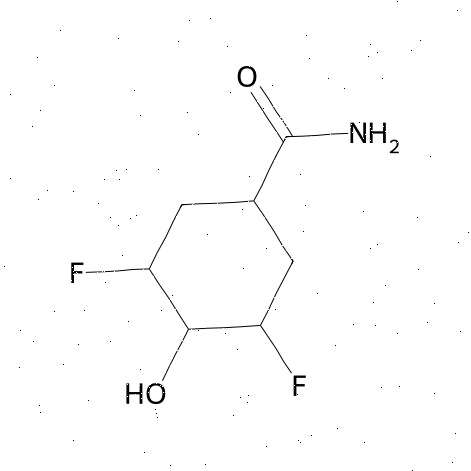 NC(=O)C1CC(F)C(O)C(F)C1